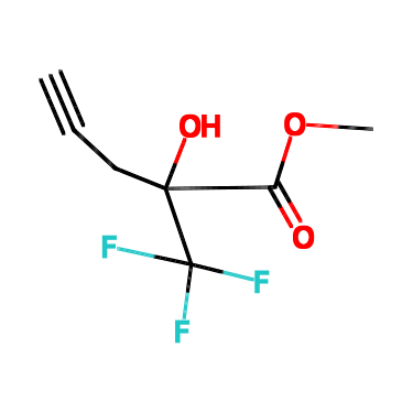 C#CCC(O)(C(=O)OC)C(F)(F)F